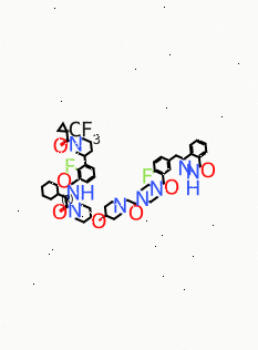 O=C(N[C@@H](C(=O)N1CCC(OC2CCN(CC(=O)N3CCN(C(=O)c4cc(Cc5n[nH]c(=O)c6ccccc56)ccc4F)CC3)CC2)CC1)C1CCCCC1)c1cccc(C2CCCN(C(=O)C3(C(F)(F)F)CC3)C2)c1F